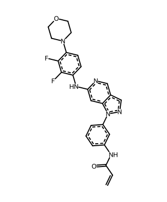 C=CC(=O)Nc1cccc(-n2ncc3cnc(Nc4ccc(N5CCOCC5)c(F)c4F)cc32)c1